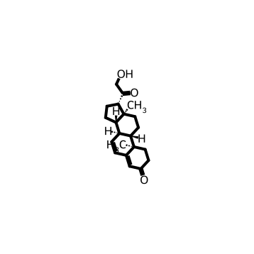 C[C@]12CC[C@H]3[C@@H](C=CC4=CC(=O)CC[C@@]43C)[C@@H]1CC[C@@H]2C(=O)CO